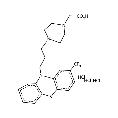 Cl.Cl.Cl.O=C(O)CN1CCN(CCCN2c3ccccc3Sc3ccc(C(F)(F)F)cc32)CC1